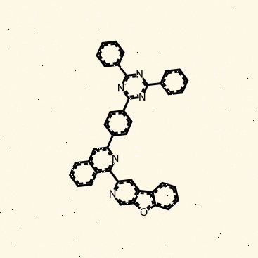 c1ccc(-c2nc(-c3ccccc3)nc(-c3ccc(-c4cc5ccccc5c(-c5cc6c(cn5)oc5ccccc56)n4)cc3)n2)cc1